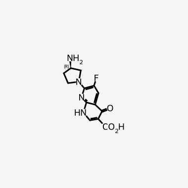 N[C@@H]1CCN(c2nc3[nH]cc(C(=O)O)c(=O)c3cc2F)C1